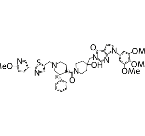 COc1ccc(-c2ncc(CN3CC[C@@H](C(=O)N4CCC(O)(Cn5cnc6c(ccn6-c6cc(OC)c(OC)c(OC)c6)c5=O)CC4)[C@H](c4ccccc4)C3)s2)cn1